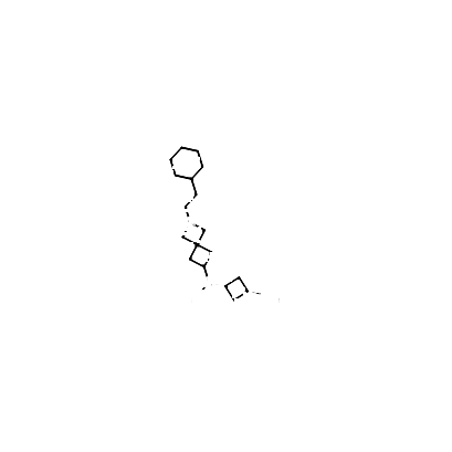 CN(C1CC2(C1)CN(CCC1CCCCC1)C2)[C@H]1C[C@H](C)C1